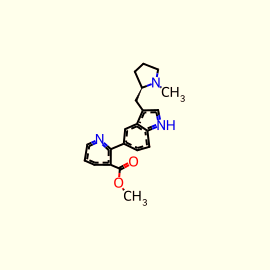 COC(=O)c1cccnc1-c1ccc2[nH]cc(C[C@H]3CCCN3C)c2c1